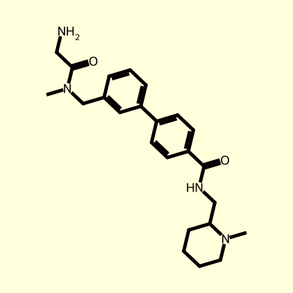 CN(Cc1cccc(-c2ccc(C(=O)NCC3CCCCN3C)cc2)c1)C(=O)CN